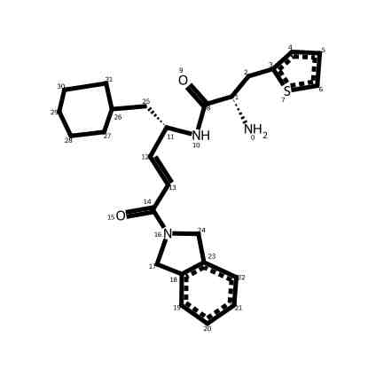 N[C@@H](Cc1cccs1)C(=O)N[C@H](/C=C/C(=O)N1Cc2ccccc2C1)CC1CCCCC1